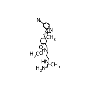 COC(=O)N(CCCN/C(C)=C\N)CC1=CCCC(C)(Cn2cnc3ccc(C#N)cc32)C1